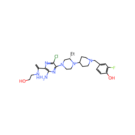 C=C(NCCO)c1nc(Cl)c(N2CCN(C3CCN(Cc4ccc(O)c(F)c4)CC3)[C@@H](CC)C2)nc1N